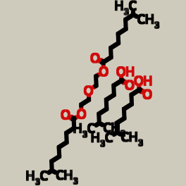 CC(C)CCCCCC(=O)O.CC(C)CCCCCC(=O)O.CC(C)CCCCCCC(=O)OCCOCCOC(=O)CCCCCCC(C)C